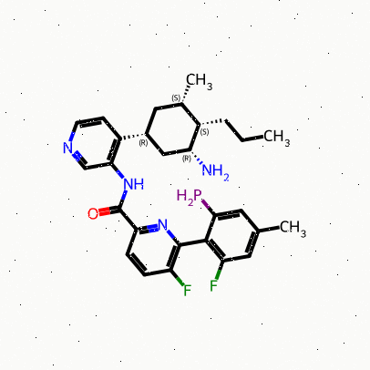 CCC[C@@H]1[C@H](N)C[C@H](c2ccncc2NC(=O)c2ccc(F)c(-c3c(F)cc(C)cc3P)n2)C[C@@H]1C